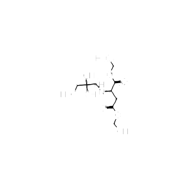 CCOC(=O)CC(NCC(C)(C)CC)C(=O)OCC